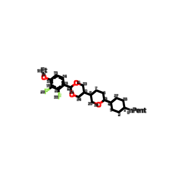 CCCCCC1CCC(C2CCC(C3COC(c4ccc(OCC)c(F)c4F)OC3)CO2)CC1